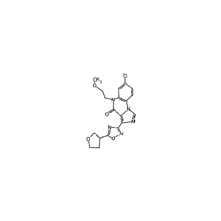 COCCn1c(=O)c2c(-c3noc(C4CCOC4)n3)ncn2c2ccc(Cl)cc21